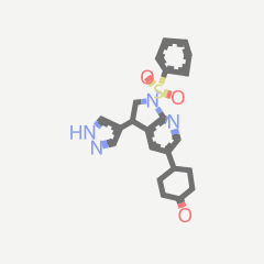 O=C1CCC(c2cnc3c(c2)C(c2cn[nH]c2)CN3S(=O)(=O)c2ccccc2)CC1